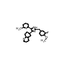 COc1ccc(Cc2nc(-c3ccc4ncccc4c3)c(-c3cccc(C)n3)[nH]2)cc1F